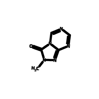 Cn1nc2ncncn2c1=O